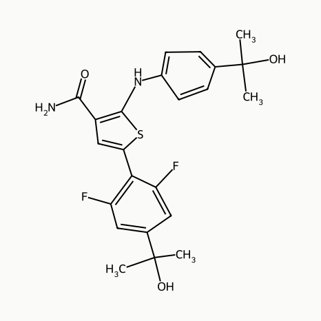 CC(C)(O)c1ccc(Nc2sc(-c3c(F)cc(C(C)(C)O)cc3F)cc2C(N)=O)cc1